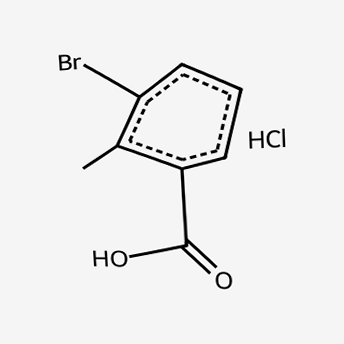 Cc1c(Br)cccc1C(=O)O.Cl